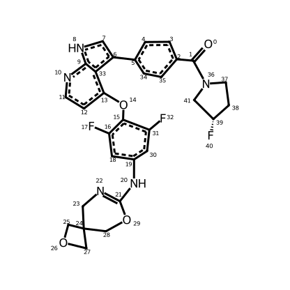 O=C(c1ccc(-c2c[nH]c3nccc(Oc4c(F)cc(NC5=NCC6(COC6)CO5)cc4F)c23)cc1)N1CC[C@H](F)C1